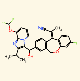 CC(C#N)=C1c2ccc(C(O)c3c(C(C)C)nc4c(OC(F)F)cccn34)cc2COc2cc(F)ccc21